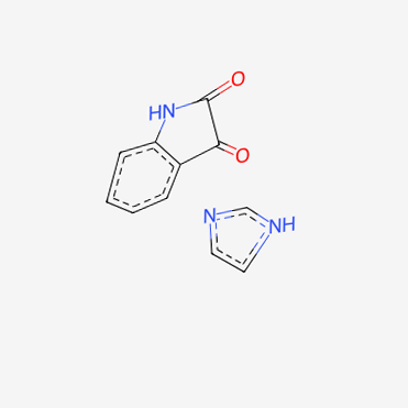 O=C1Nc2ccccc2C1=O.c1c[nH]cn1